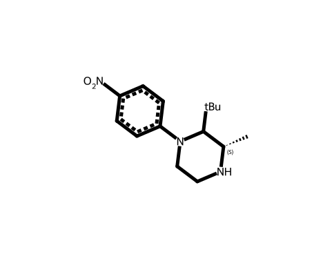 C[C@@H]1NCCN(c2ccc([N+](=O)[O-])cc2)C1C(C)(C)C